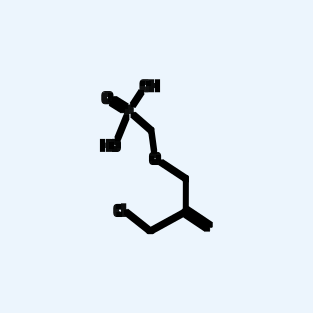 C=C(CCl)COCP(=O)(O)O